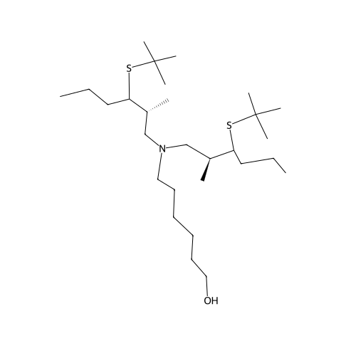 CCCC(SC(C)(C)C)[C@H](C)CN(CCCCCCO)C[C@H](C)C(CCC)SC(C)(C)C